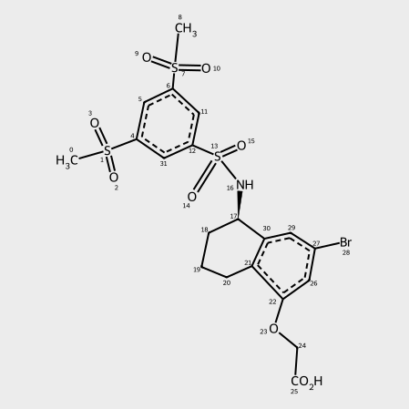 CS(=O)(=O)c1cc(S(C)(=O)=O)cc(S(=O)(=O)N[C@@H]2CCCc3c(OCC(=O)O)cc(Br)cc32)c1